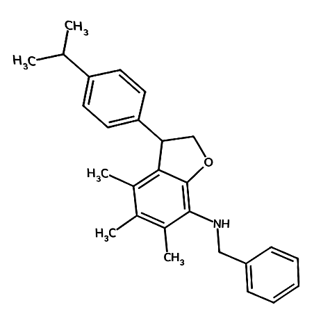 Cc1c(C)c(NCc2ccccc2)c2c(c1C)C(c1ccc(C(C)C)cc1)CO2